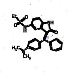 CCS(=O)(=O)Nc1ccc2c(c1)/C(=C(/c1ccccc1)c1ccc(N(C)C)cc1)C(=O)N2